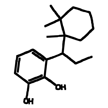 CCC(c1cccc(O)c1O)C1(C)CCCCC1(C)C